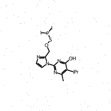 Cc1nc(-n2ccnc2COSP(I)I)nc(O)c1C(C)C